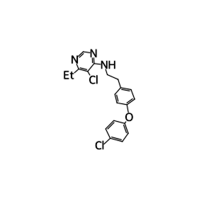 CCc1ncnc(NCCc2ccc(Oc3ccc(Cl)cc3)cc2)c1Cl